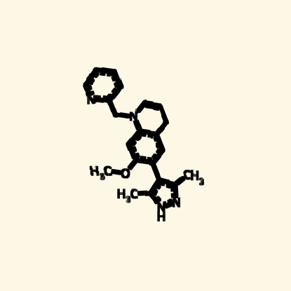 COc1cc2c(cc1-c1c(C)n[nH]c1C)CC=CN2Cc1ccccn1